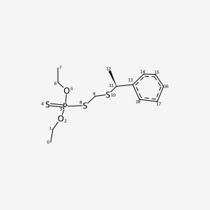 CCOP(=S)(OCC)SCS[C@@H](C)c1ccccc1